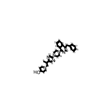 CC(CN1CCC(O)CC1)c1cnc(N2CCN(c3nnc(Cc4ccccc4)c4ccccc34)CC2)cn1